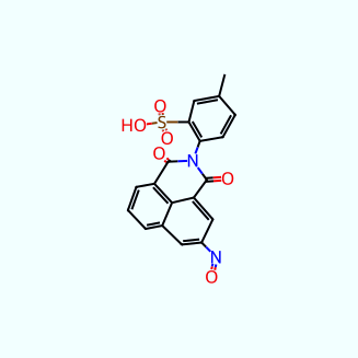 Cc1ccc(N2C(=O)c3cccc4cc(N=O)cc(c34)C2=O)c(S(=O)(=O)O)c1